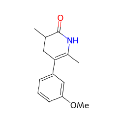 COc1cccc(C2=C(C)NC(=O)C(C)C2)c1